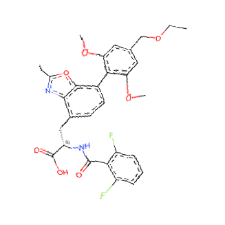 CCOCc1cc(OC)c(-c2ccc(C[C@H](NC(=O)c3c(F)cccc3F)C(=O)O)c3nc(C)oc23)c(OC)c1